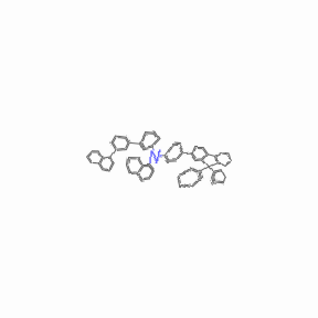 c1ccc(C2(c3ccccc3)c3ccccc3-c3ccc(-c4ccc(N(c5cccc(-c6cccc(-c7cccc8ccccc78)c6)c5)c5cccc6ccccc56)cc4)cc32)cc1